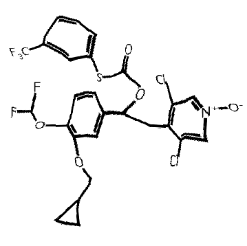 O=C(OC(Cc1c(Cl)c[n+]([O-])cc1Cl)c1ccc(OC(F)F)c(OCC2CC2)c1)Sc1cccc(C(F)(F)F)c1